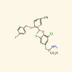 CC(Oc1c(Cl)cc(C[C@H](N)C(=O)O)cc1Cl)c1cc(C#N)ccc1OCc1ccc(F)cc1